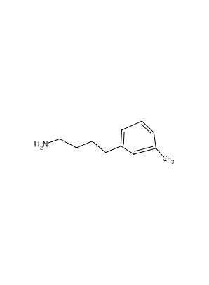 NCCCCc1cccc(C(F)(F)F)c1